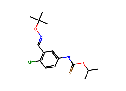 CC(C)OC(=S)Nc1ccc(Cl)c(/C=N/OC(C)(C)C)c1